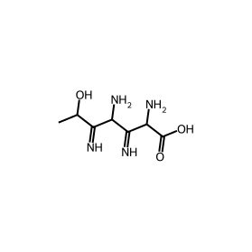 CC(O)C(=N)C(N)C(=N)C(N)C(=O)O